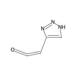 O=C=Cc1c[nH]nn1